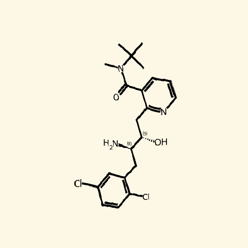 CN(C(=O)c1cccnc1C[C@H](O)[C@H](N)Cc1cc(Cl)ccc1Cl)C(C)(C)C